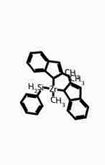 CC1=Cc2ccccc2[CH]1[Zr]([CH3])([SiH2]c1ccccc1)[CH]1C(C)=Cc2ccccc21